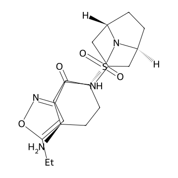 CCc1cc(C(=O)NC2C[C@@H]3CC[C@@H](C2)N3S(=O)(=O)[C@H]2CC[C@H](N)CC2)no1